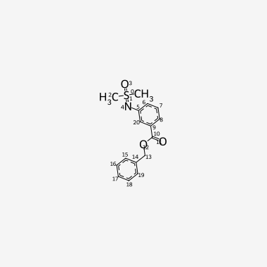 CS(C)(=O)=Nc1cccc(C(=O)OCc2ccccc2)c1